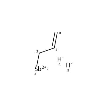 C=C[CH2][Sb+2].[H-].[H-]